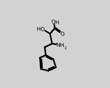 NC(Cc1ccccc1)C(O)C(=O)O